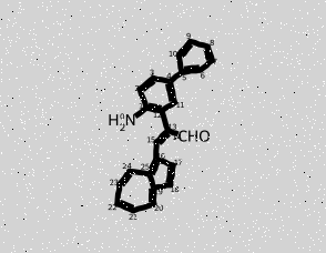 Nc1ccc(-c2ccccc2)cc1/C(C=O)=C/c1ccc2cccccc1-2